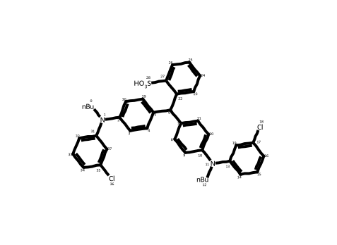 CCCCN(c1ccc(C(c2ccc(N(CCCC)c3cccc(Cl)c3)cc2)c2ccccc2S(=O)(=O)O)cc1)c1cccc(Cl)c1